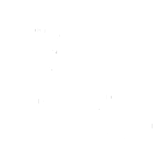 CCC(CC)(c1ccc(O[Si](OC(C)(C)C)(c2ccccc2)c2ccccc2)c(C)c1)c1cc(C)cs1